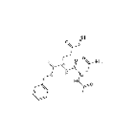 CC(=O)N[C@@H](CC(N)=O)C(=O)N[C@@H](CCC(=O)C=N)C(=O)NCc1ccccc1